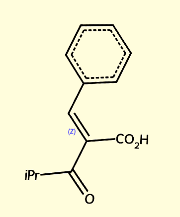 CC(C)C(=O)/C(=C/c1ccccc1)C(=O)O